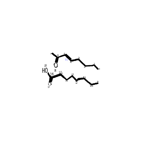 CCCC/C=C/C(C)=O.CCCCCCCC(=O)O